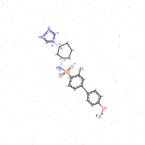 CCc1cc(-c2ccc(OC(F)(F)F)cc2)ccc1S(=O)(=O)N[C@H]1CCC[C@@H](n2cnnc2)C1